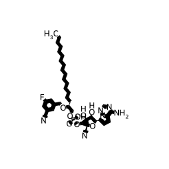 CCCCCCCCCCCCCCCC[C@H](COP(=O)(O)OC1[C@@]2(C#N)O[C@@H](c3ccc4c(N)ncnn34)[C@H](O)[C@@]12O)OCc1cc(F)cc(C#N)c1